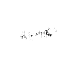 COc1cc(C(=O)NCCOCCOCCOCCNC(=O)CCCCC2SCC3NC(=O)NC32)ccc1NC(=O)c1ccc(N=[N+]=[N-])cc1Sc1ccc([N+](=O)[O-])cc1